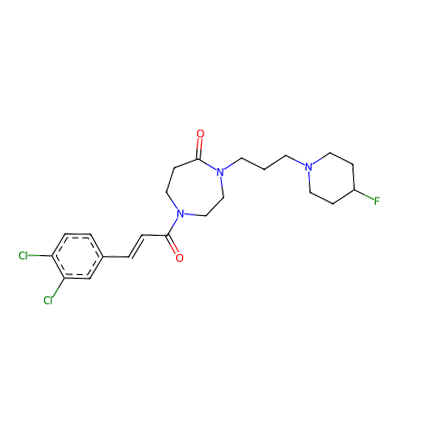 O=C(C=Cc1ccc(Cl)c(Cl)c1)N1CCC(=O)N(CCCN2CCC(F)CC2)CC1